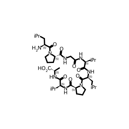 CC(C)C[C@H](NC(=O)[C@@H](NC(=O)CNC(=O)[C@@H]1CCCN1C(=O)[C@@H](N)CC(C)C)C(C)C)C(=O)N1CCC[C@H]1C(=O)N[C@H](C(=O)N[C@@H](C)C(=O)O)C(C)C